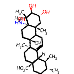 C[C@H]1[C@H](C)CC[C@]2(C(=O)O)CC[C@]3(C)C(=CCC4[C@@]3(C)CC[C@@]3(NO)C(C)(C)[C@@H](O)[C@H](O)C[C@]43C)[C@H]12